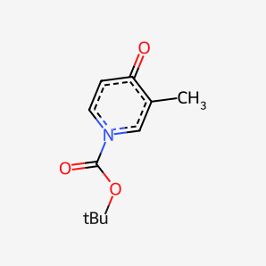 Cc1cn(C(=O)OC(C)(C)C)ccc1=O